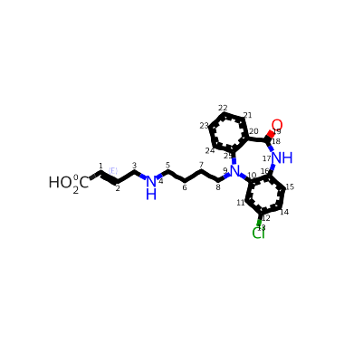 O=C(O)/C=C/CNCCCCN1c2cc(Cl)ccc2NC(=O)c2ccccc21